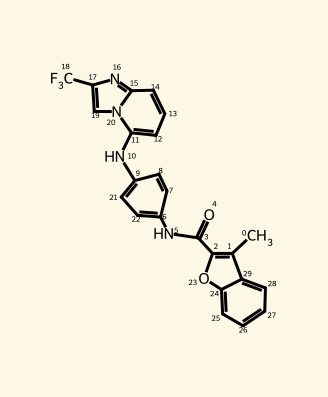 Cc1c(C(=O)Nc2ccc(Nc3cccc4nc(C(F)(F)F)cn34)cc2)oc2ccccc12